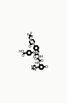 O=C(Nc1cc(Cl)ccc1-n1cnnn1)C(=O)N[C@@H](Cc1ccc(N2CCN(CC(F)(F)F)CC2=O)cc1)C(=O)Nc1ccc(C(=O)O)cc1